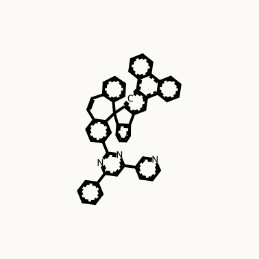 C1=Cc2ccc(-c3nc(-c4ccccc4)cc(-c4cccnc4)n3)cc2C2(c3ccccc31)c1ccccc1-c1cc3c4ccccc4c4ccccc4c3cc12